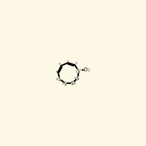 [O-][s+]1ccccssss1